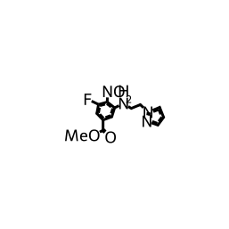 COC(=O)c1cc(F)c([N+](=O)[O-])c(NCCn2cccn2)c1